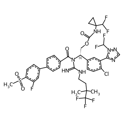 CC(C)(CCNC(=N)N(C(=O)c1ccc(-c2ccc(S(C)(=O)=O)c(F)c2)cc1)[C@H](COC(=O)NC1(C(F)F)CC1)c1ccc(Cl)c(-c2ncnn2C(F)F)c1)C(F)(F)F